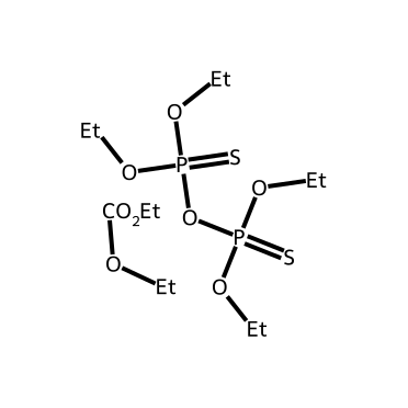 CCOC(=O)OCC.CCOP(=S)(OCC)OP(=S)(OCC)OCC